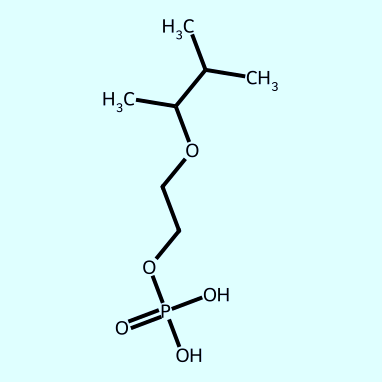 CC(C)C(C)OCCOP(=O)(O)O